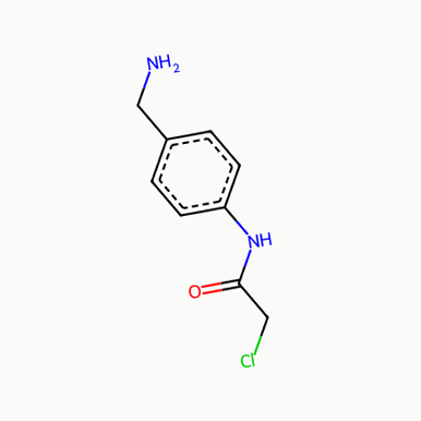 NCc1ccc(NC(=O)CCl)cc1